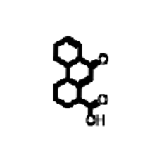 O=C(O)C1CCCC2C1=CC(=O)C1C=CCCC12